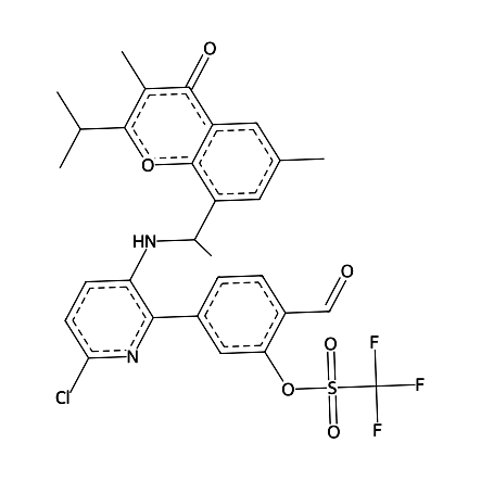 Cc1cc(C(C)Nc2ccc(Cl)nc2-c2ccc(C=O)c(OS(=O)(=O)C(F)(F)F)c2)c2oc(C(C)C)c(C)c(=O)c2c1